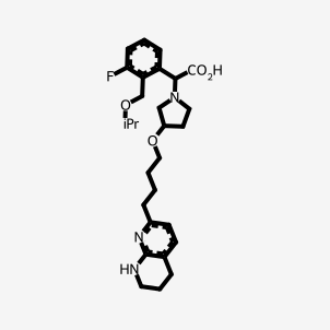 CC(C)OCc1c(F)cccc1C(C(=O)O)N1CCC(OCCCCc2ccc3c(n2)NCCC3)C1